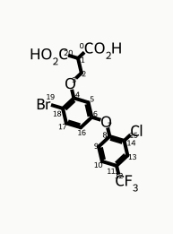 O=C(O)C(COc1cc(Oc2ccc(C(F)(F)F)cc2Cl)ccc1Br)C(=O)O